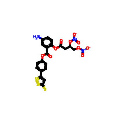 Nc1ccc(OC(=O)CC(CO[N+](=O)[O-])O[N+](=O)[O-])c(C(=O)Oc2ccc(-c3cc(=S)ss3)cc2)c1